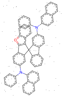 c1ccc(N(c2ccc3c(c2)C2(c4ccccc4-3)c3cc(N(c4ccccc4)c4cccc5ccccc45)ccc3-c3oc4ccccc4c32)c2ccc3ccccc3c2)cc1